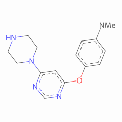 CNc1ccc(Oc2cc(N3CCNCC3)ncn2)cc1